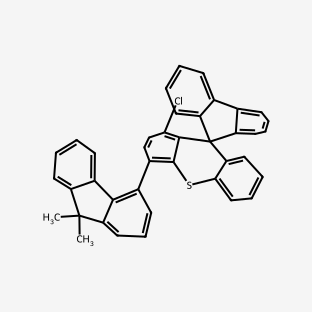 CC1(C)c2ccccc2-c2c(-c3ccc(Cl)c4c3Sc3ccccc3C43c4ccccc4-c4ccccc43)cccc21